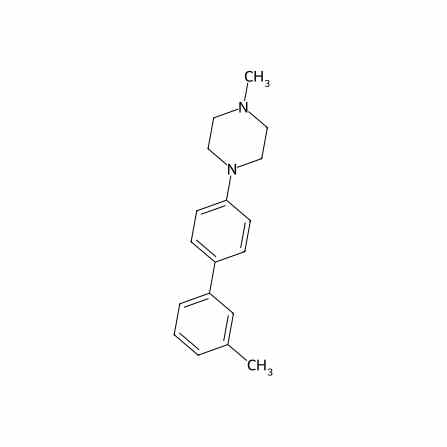 Cc1cccc(-c2ccc(N3CCN(C)CC3)cc2)c1